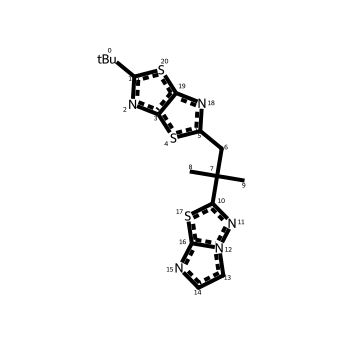 CC(C)(C)c1nc2sc(CC(C)(C)c3nn4ccnc4s3)nc2s1